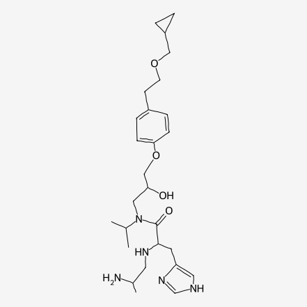 CC(N)CNC(Cc1c[nH]cn1)C(=O)N(CC(O)COc1ccc(CCOCC2CC2)cc1)C(C)C